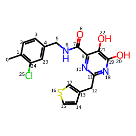 Cc1ccc(CNC(=O)c2nc(Cc3ccsc3)nc(O)c2O)cc1Cl